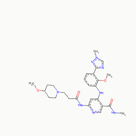 CNC(=O)c1cnc(NC(=O)CCN2CCC(OC)CC2)cc1Nc1cccc(-c2ncn(C)n2)c1OC